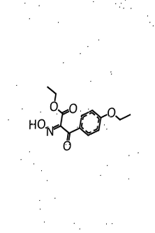 CCOC(=O)/C(=N\O)C(=O)c1ccc(OCC)cc1